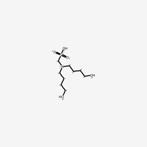 O=S(=O)(O)CN(CCCCO)CCCCO